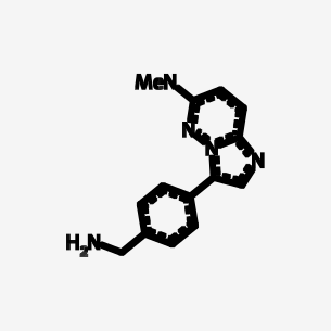 CNc1ccc2ncc(-c3ccc(CN)cc3)n2n1